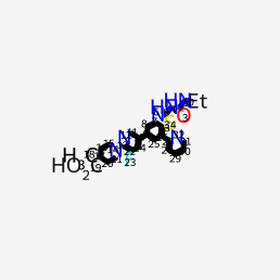 CCNC(=O)Nc1nc2cc(-c3cnc(N4CCC(C)(C(=O)O)CC4)c(F)c3)cc(-c3ccccn3)c2s1